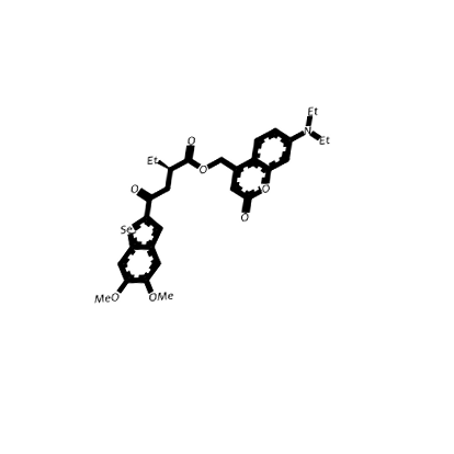 CC[C@H](CC(=O)c1cc2cc(OC)c(OC)cc2[se]1)C(=O)OCc1cc(=O)oc2cc(N(CC)CC)ccc12